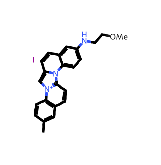 COCCNc1ccc2c(ccc3c[n+]4c5ccc(C)cc5ccc4n32)c1.[I-]